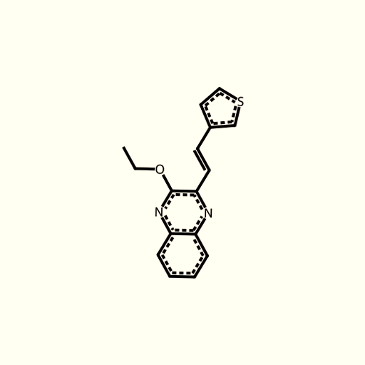 CCOc1nc2ccccc2nc1/C=C/c1ccsc1